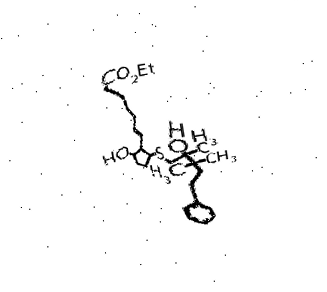 CCOC(=O)CCCCCCC1C(O)CCC1SCC(C)(O)C(C)(C)CCc1ccccc1